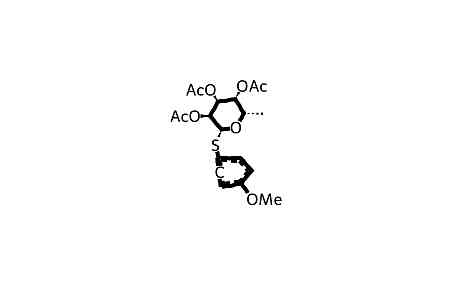 COc1ccc(S[C@H]2O[C@@H](C)[C@@H](OC(C)=O)[C@@H](OC(C)=O)[C@@H]2OC(C)=O)cc1